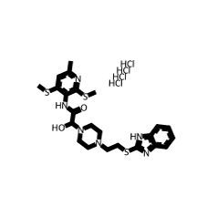 CSc1cc(C)nc(SC)c1NC(=O)C(O)N1CCN(CCSc2nc3ccccc3[nH]2)CC1.Cl.Cl.Cl.Cl